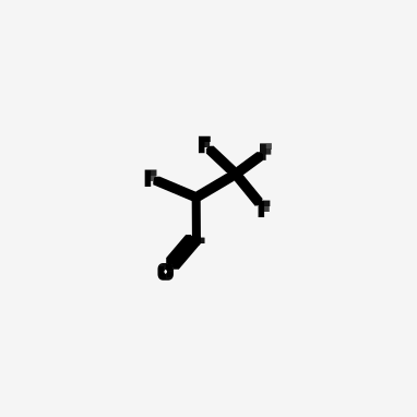 O=[C]C(F)C(F)(F)F